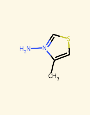 Cc1csc[n+]1N